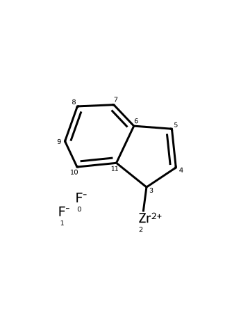 [F-].[F-].[Zr+2][CH]1C=Cc2ccccc21